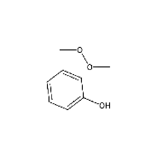 COOC.Oc1ccccc1